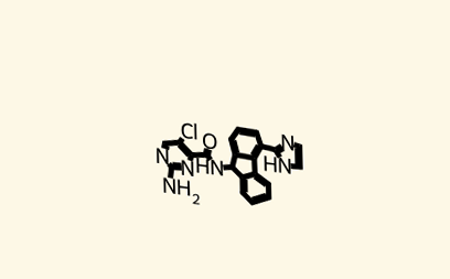 Nc1ncc(Cl)c(C(=O)NC2c3ccccc3-c3c(-c4ncc[nH]4)cccc32)n1